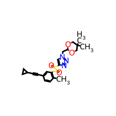 Cc1ccc(C#CC2CC2)cc1S(=O)(=O)c1cn(CC2OCC(C)(C)CO2)nn1